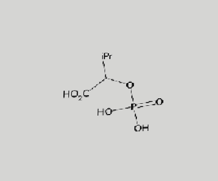 CC(C)C(OP(=O)(O)O)C(=O)O